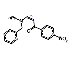 CCCN(/C=C\C(=O)c1ccc([N+](=O)[O-])cc1)Cc1ccccc1